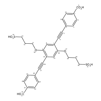 O=C(O)c1ccc(C#Cc2cc(OCCCS(=O)(=O)O)c(C#Cc3ccc(C(=O)O)cc3)cc2OCCCS(=O)(=O)O)cc1